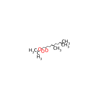 CC(C)=CCC/C(C)=C/CCC(=O)CC(=O)OC(C)C